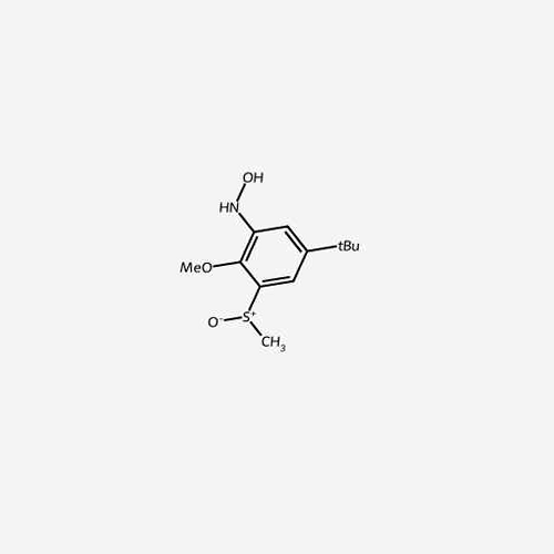 COc1c(NO)cc(C(C)(C)C)cc1[S+](C)[O-]